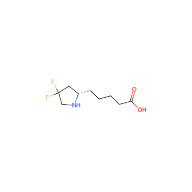 O=C(O)CCCC[C@H]1CC(F)(F)CN1